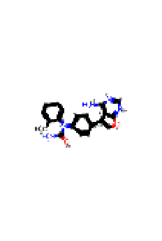 Cc1ccccc1N(C(N)=O)c1ccc(-c2coc3ncnc(N)c23)cc1